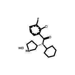 Cl.O=C(c1cccc(F)c1Cl)N(C1CCCCC1)[C@H]1CCNC1